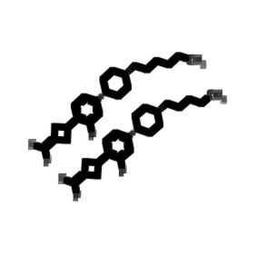 CCCCCC[C@H]1CC[C@H](c2ccc(C3CC(=C(F)F)C3)c(F)c2)CC1.CCCCC[C@H]1CC[C@H](c2ccc(C3CC(=C(F)F)C3)c(F)c2)CC1